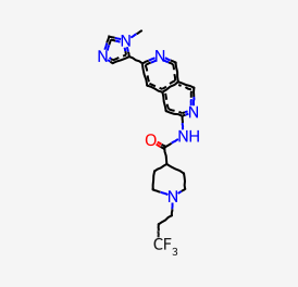 Cn1cncc1-c1cc2cc(NC(=O)C3CCN(CCC(F)(F)F)CC3)ncc2cn1